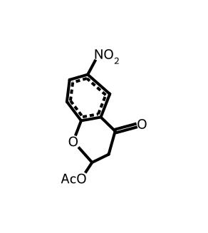 CC(=O)OC1CC(=O)c2cc([N+](=O)[O-])ccc2O1